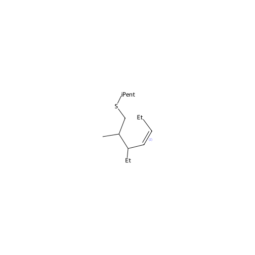 CC/C=C\C(CC)C(C)CSC(C)CCC